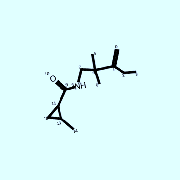 C=C(CC)C(C)(C)CNC(=O)C1CC1C